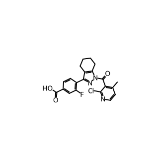 Cc1ccnc(Cl)c1C(=O)n1nc(-c2ccc(C(=O)O)cc2F)c2c1CCCC2